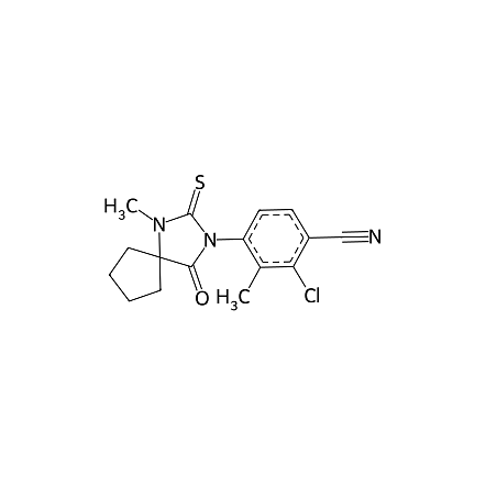 Cc1c(N2C(=O)C3(CCCC3)N(C)C2=S)ccc(C#N)c1Cl